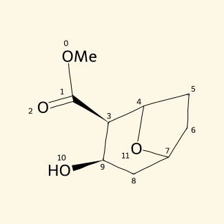 COC(=O)[C@H]1C2CCC(C[C@H]1O)O2